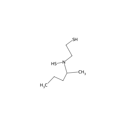 CCCC(C)N(S)CCS